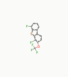 Fc1cccc2c1sc1c(F)c(OC(F)(F)F)ccc12